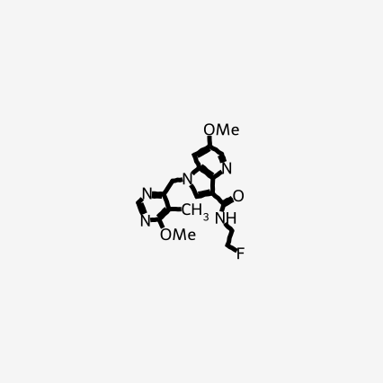 COc1cnc2c(C(=O)NCCF)cn(Cc3ncnc(OC)c3C)c2c1